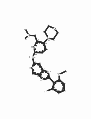 COc1cccc(F)c1-c1nc2cc(Nc3ccc(N4CCOCC4)c(CN(C)C)n3)ncc2s1